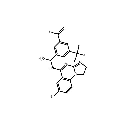 CC(NC1=NC2=NCCN2c2ccc(Br)cc21)c1cc([N+](=O)[O-])cc(C(F)(F)F)c1